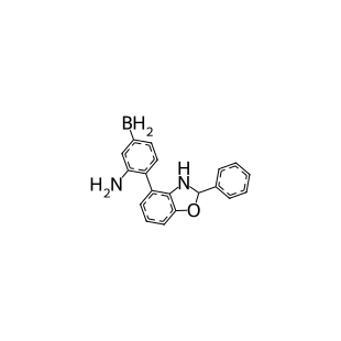 Bc1ccc(-c2cccc3c2NC(c2ccccc2)O3)c(N)c1